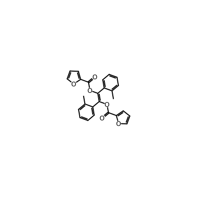 Cc1ccccc1/C(OC(=O)c1ccco1)=C(\OC(=O)c1ccco1)c1ccccc1C